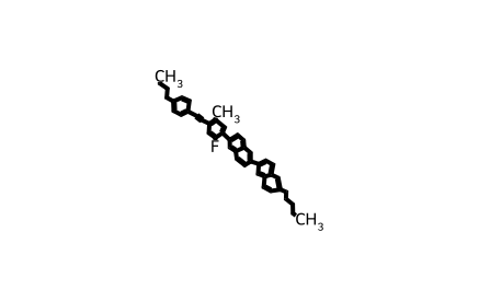 CCCCCc1ccc2cc(-c3ccc4cc(-c5cc(C)c(C#Cc6ccc(CCCC)cc6)cc5F)ccc4c3)ccc2c1